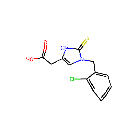 O=C(O)Cc1cn(Cc2ccccc2Cl)c(=S)[nH]1